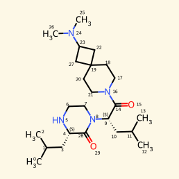 CC(C)C[C@@H]1NCCN([C@@H](CC(C)C)C(=O)N2CCC3(CC2)CC(N(C)C)C3)C1=O